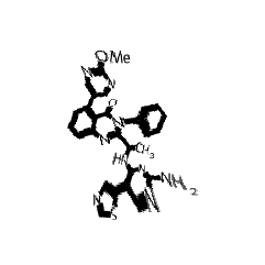 COc1ncc(-c2cccc3nc(C(C)Nc4nc(N)ncc4-c4cncs4)n(-c4ccccc4)c(=O)c23)cn1